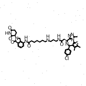 Cc1sc2c(c1C)C(c1ccc(Cl)cc1)=N[C@@H](CC(=O)NCCCNCCCCCCC(=O)Nc1cccc3c1CN(C1CCC(=O)NC1=O)C3=O)c1nnc(C)n1-2